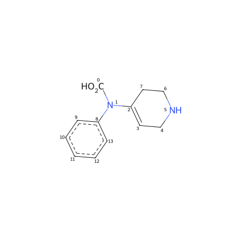 O=C(O)N(C1=CCNCC1)c1ccccc1